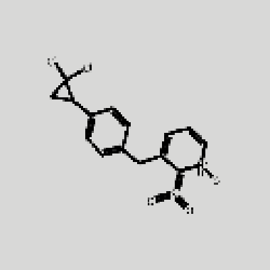 O=S(=O)=C1C(Cc2ccc(C3CC3(Cl)Cl)cc2)=CC=C[NH+]1[O-]